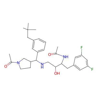 CC(=O)NC(Cc1cc(F)cc(F)c1)C(O)CNC(c1cccc(CC(C)(C)C)c1)C1CCN(C(C)=O)C1